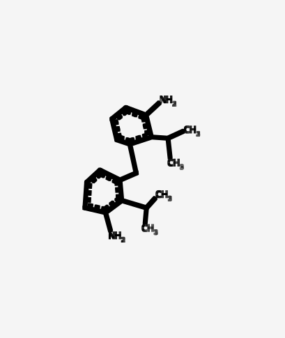 CC(C)c1c(N)cccc1Cc1cccc(N)c1C(C)C